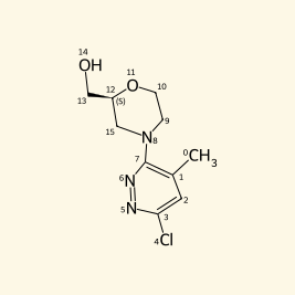 Cc1cc(Cl)nnc1N1CCO[C@H](CO)C1